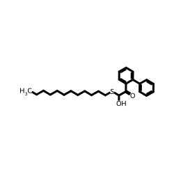 CCCCCCCCCCCCSC(O)C(=O)c1ccccc1-c1ccccc1